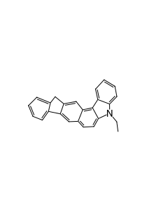 CCn1c2ccccc2c2c3cc4c(cc3ccc21)-c1ccccc1C4